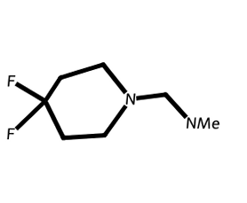 CNCN1CCC(F)(F)CC1